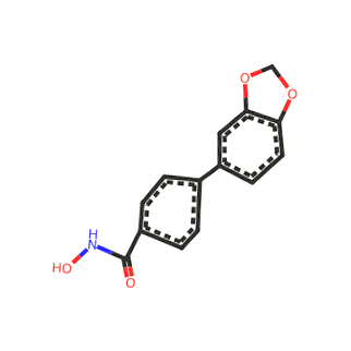 O=C(NO)c1ccc(-c2ccc3c(c2)OCO3)cc1